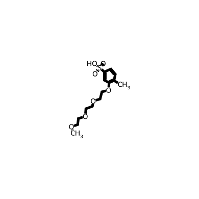 COCCOCCOCCOc1cc(S(=O)(=O)O)ccc1C